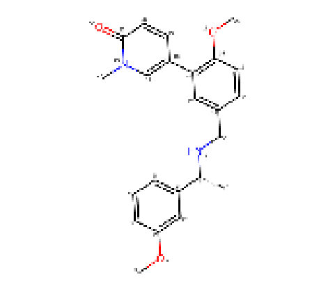 COc1cccc([C@@H](C)NCc2ccc(OC)c(-c3ccc(=O)n(C)c3)c2)c1